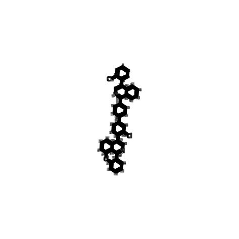 Clc1ccccc1-c1cnc(-c2ccc(-c3ccc(-c4cnc5c6c(cccc46)Oc4ccccc4-5)c(Cl)c3)cc2)c2ccccc12